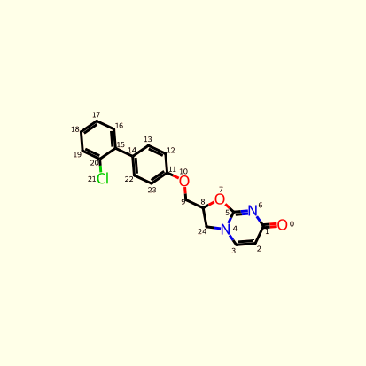 O=c1ccn2c(n1)OC(COc1ccc(-c3ccccc3Cl)cc1)C2